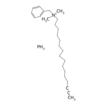 CCCCCCCCCCCCCCCC[N+](C)(C)Cc1ccccc1.P